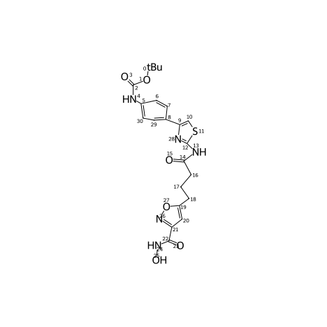 CC(C)(C)OC(=O)Nc1ccc(-c2csc(NC(=O)CCCc3cc(C(=O)NO)no3)n2)cc1